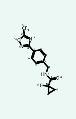 O=C(NCc1ccc(-c2noc(C(F)(F)F)n2)cc1)C1(F)CC1